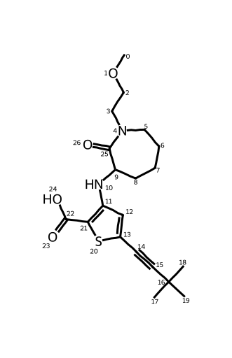 COCCN1CCCCC(Nc2cc(C#CC(C)(C)C)sc2C(=O)O)C1=O